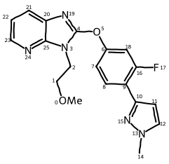 COCCn1c(Oc2ccc(-c3ccn(C)n3)c(F)c2)nc2cccnc21